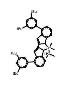 CC1=Cc2c(-c3cc(C(C)(C)C)cc(C(C)(C)C)c3)cccc2[CH]1[Hf]([CH3])([CH3])([CH]1C(C)=Cc2c(-c3cc(C(C)(C)C)cc(C(C)(C)C)c3)cccc21)[SiH](C)C